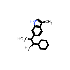 Cc1c[nH]c2cc(C(C(=O)O)C(C)C3CCCCC3)ccc12